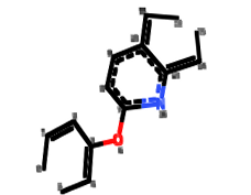 C/C=C\C(=C/C)Oc1ccc(=C/C)/c(=C\C)n1